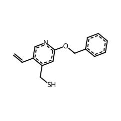 C=Cc1cnc(OCc2ccccc2)cc1CS